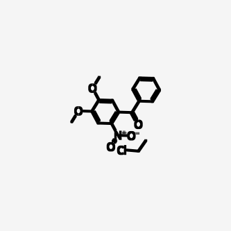 CCCl.COc1cc(C(=O)c2ccccc2)c([N+](=O)[O-])cc1OC